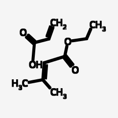 C=CC(=O)O.CCOC(=O)C=C(C)C